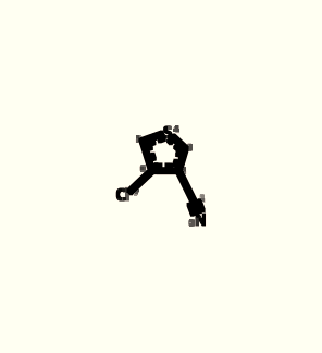 N#Cc1cs[c]c1Cl